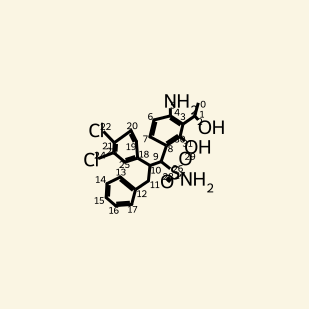 CC(O)c1c(N)ccc(C(C(Cc2ccccc2)c2ccc(Cl)c(Cl)c2)S(N)(=O)=O)c1O